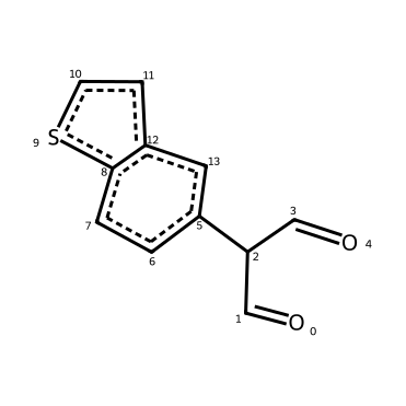 O=CC(C=O)c1ccc2sccc2c1